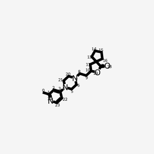 Cc1cc(N2CCN(CCC3CC4(CCCC4)C(=O)O3)CC2)ccn1